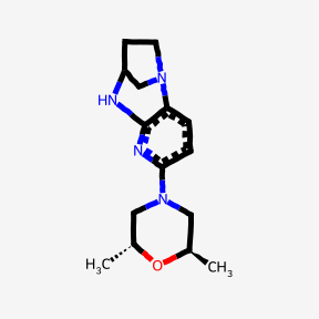 C[C@@H]1CN(c2ccc3c(n2)NC2CCN3C2)C[C@@H](C)O1